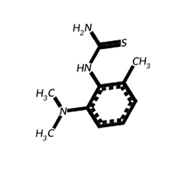 Cc1cccc(N(C)C)c1NC(N)=S